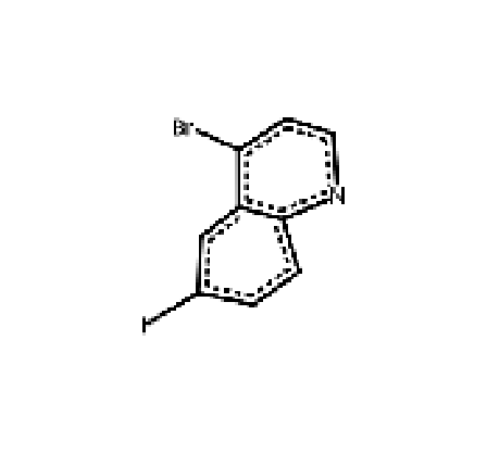 Brc1ccnc2ccc(I)cc12